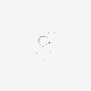 CN1C=CC(C(F)(F)F)N1